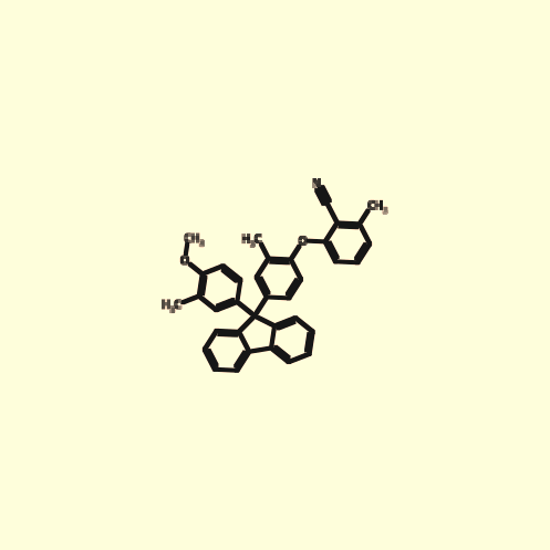 COc1ccc(C2(c3ccc(Oc4cccc(C)c4C#N)c(C)c3)c3ccccc3-c3ccccc32)cc1C